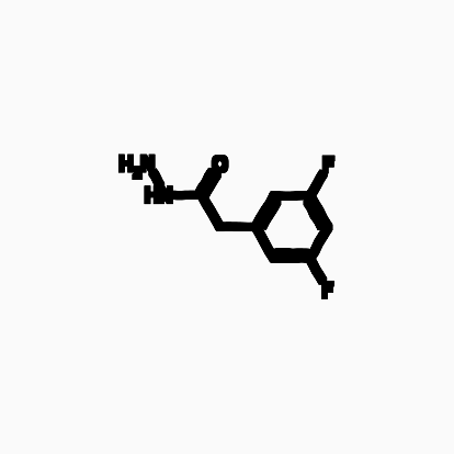 NNC(=O)Cc1cc(F)cc(F)c1